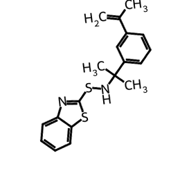 C=C(C)c1cccc(C(C)(C)NSc2nc3ccccc3s2)c1